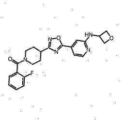 O=C(c1ccccc1F)N1CCC(c2noc(-c3ccnc(NC4COC4)c3)n2)CC1